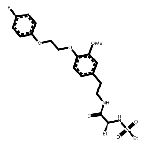 CC[C@H](NS(=O)(=O)CC)C(=O)NCCc1ccc(OCCOc2ccc(F)cc2)c(OC)c1